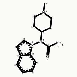 CN1CCC(N(C(N)=O)n2ccc3ccccc32)CC1